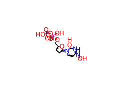 O=P(O)(O)OP(=O)(O)OC[C@@H]1CC[C@H](N2C=CC(NO)=NC2O)O1